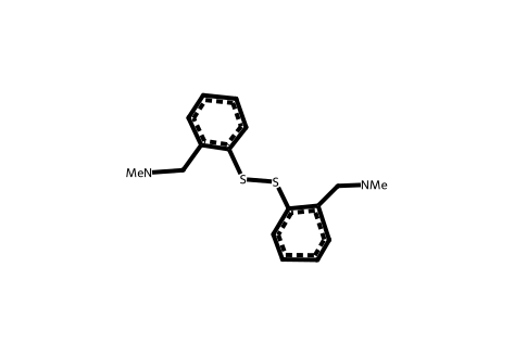 CNCc1ccccc1SSc1ccccc1CNC